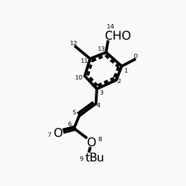 Cc1cc(C=CC(=O)OC(C)(C)C)cc(C)c1C=O